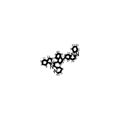 c1ccc(-c2nc3c4ccccc4ccn3c2-c2ccc(-c3ccc4c(ccc5nc6ccccc6n54)c3)c3ccccc23)nc1